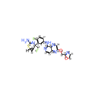 NC1=N[C@](CF)(c2cc(Nc3nccc4nc(OCc5ncco5)cnc34)ccc2F)C2=C[C@@H]2S1